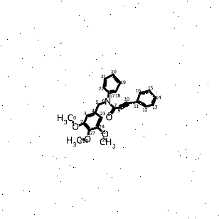 COc1cc(CN(C(=O)C#Cc2ccccc2)c2ccccc2)cc(OC)c1OC